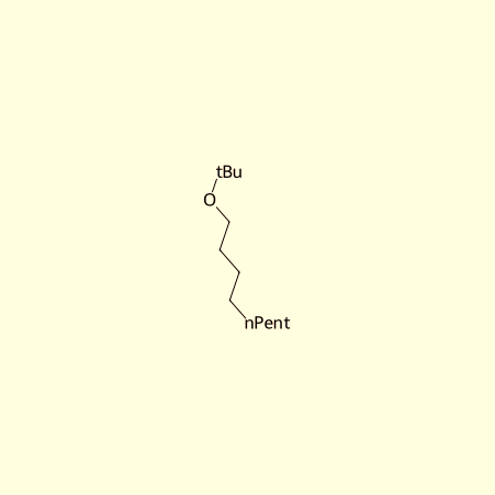 [CH2]CCCCCCCCOC(C)(C)C